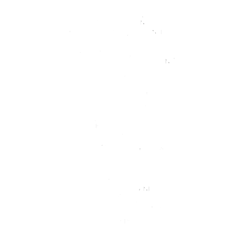 CCCS(=O)(=O)Nc1ccc(F)c(C#Cc2cnc3[nH]nc(-c4ccccc4)c3c2)c1F